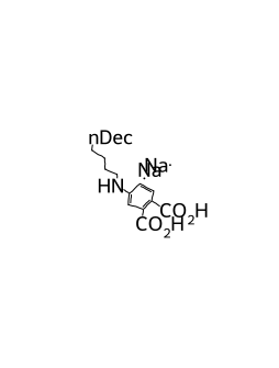 CCCCCCCCCCCCCCNc1ccc(C(=O)O)c(C(=O)O)c1.[Na].[Na]